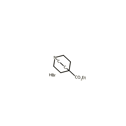 Br.CCOC(=O)C12CCN(CC1)CC2